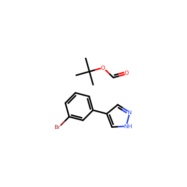 Brc1cccc(-c2cn[nH]c2)c1.CC(C)(C)OC=O